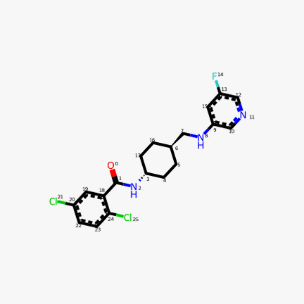 O=C(N[C@H]1CC[C@H](CNc2cncc(F)c2)CC1)c1cc(Cl)ccc1Cl